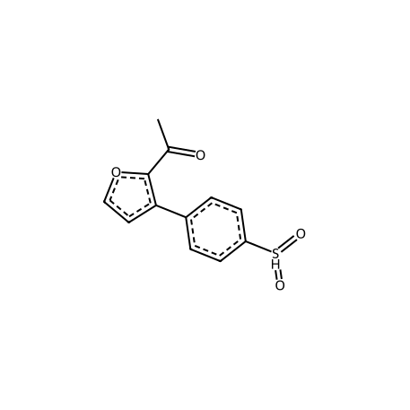 CC(=O)c1occc1-c1ccc([SH](=O)=O)cc1